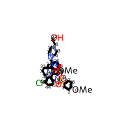 COc1ccc(S(=O)(=O)N2C(=O)C(c3cc(CN4CCN(CCO)CC4)ccc3OC)(N3CCCC3(C)c3ncco3)c3cc(Cl)ccc32)cc1